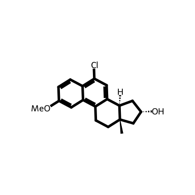 COc1ccc2c(Cl)cc3c(c2c1)CC[C@@]1(C)C[C@@H](O)C[C@H]31